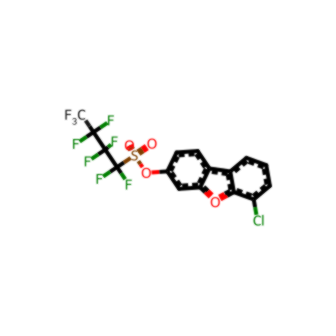 O=S(=O)(Oc1ccc2c(c1)oc1c(Cl)cccc12)C(F)(F)C(F)(F)C(F)(F)C(F)(F)F